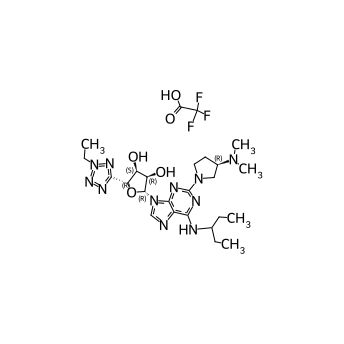 CCC(CC)Nc1nc(N2CC[C@@H](N(C)C)C2)nc2c1ncn2[C@@H]1O[C@H](c2nnn(CC)n2)[C@@H](O)[C@H]1O.O=C(O)C(F)(F)F